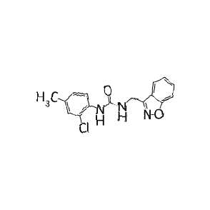 Cc1ccc(NC(=O)NCc2noc3ccccc23)c(Cl)c1